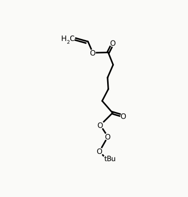 C=COC(=O)CCCCC(=O)OOOC(C)(C)C